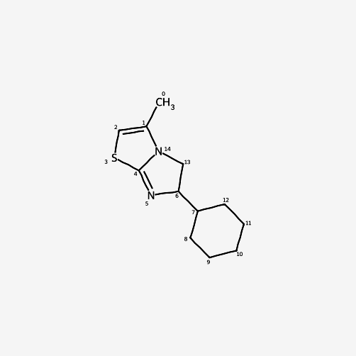 CC1=CSC2=NC(C3CCCCC3)CN12